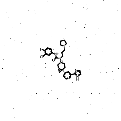 O=C(Nc1ccc(F)c(Cl)c1)N(CCCN1CCCC1)[C@H]1CC[C@@]2(c3cccc(-c4ncc[nH]4)c3)CC2C1